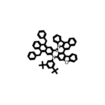 CC(C)(C)c1cc(N2c3cc4c(Cc5ccccc5)c5ccccc5c(Cc5ccccc5)c4cc3B3c4c2cc2oc5ccccc5c2c4-c2cc4ccccc4c4c5ccccc5n3c24)cc(C(C)(C)C)c1